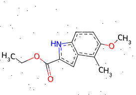 CCOC(=O)c1cc2c(C)c(OC)ccc2[nH]1